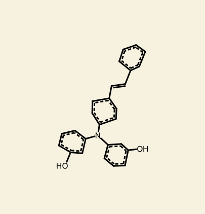 Oc1cccc(N(c2ccc(C=Cc3ccccc3)cc2)c2cccc(O)c2)c1